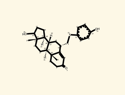 C[C@]12CCC(=O)C=C1[C@@H](CSc1ccc(O)cc1)C[C@@H]1[C@@H]2CC[C@]2(C)C(O)CC[C@@H]12